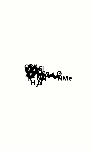 CNC(=O)CCCSc1nc(N)nc(-c2c(Cl)cc3c4c(cccc24)COC3)n1